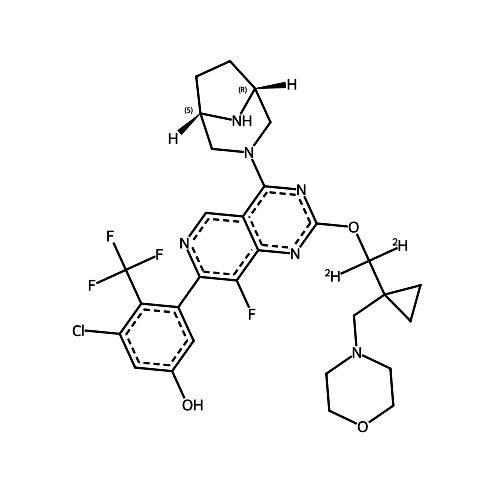 [2H]C([2H])(Oc1nc(N2C[C@H]3CC[C@@H](C2)N3)c2cnc(-c3cc(O)cc(Cl)c3C(F)(F)F)c(F)c2n1)C1(CN2CCOCC2)CC1